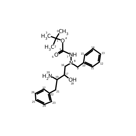 CC(C)(C)OC(=O)NN(Cc1ccccc1)CC(O)C(N)Cc1ccccc1